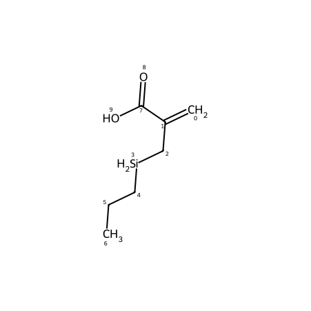 C=C(C[SiH2]CCC)C(=O)O